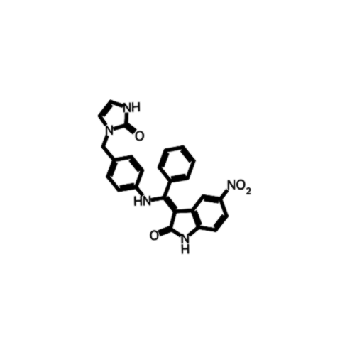 O=C1Nc2ccc([N+](=O)[O-])cc2C1=C(Nc1ccc(Cn2cc[nH]c2=O)cc1)c1ccccc1